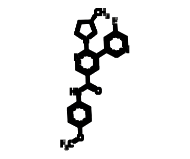 C[C@@H]1CCN(c2ncc(C(=O)Nc3ccc(OC(F)(F)F)cc3)cc2-c2cncc(F)c2)C1